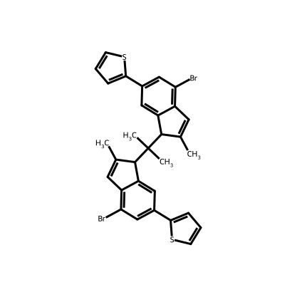 CC1=Cc2c(Br)cc(-c3cccs3)cc2C1C(C)(C)C1C(C)=Cc2c(Br)cc(-c3cccs3)cc21